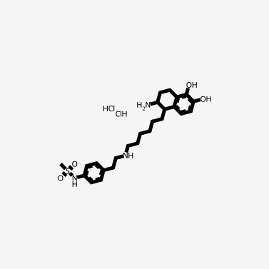 CS(=O)(=O)Nc1ccc(CCNCCCCCCC2c3ccc(O)c(O)c3CCC2N)cc1.Cl.Cl